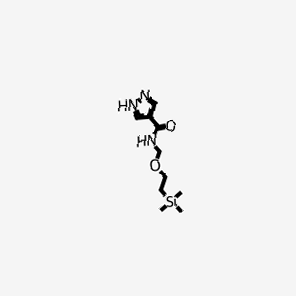 C[Si](C)(C)CCOCNC(=O)c1cn[nH]c1